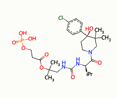 CC(C)[C@@H](NC(=O)NCC(C)(C)OC(=O)CCOP(=O)(O)O)C(=O)N1CC[C@](O)(c2ccc(Cl)cc2)C(C)(C)C1